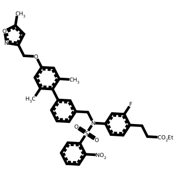 CCOC(=O)CCc1ccc(N(Cc2cccc(-c3c(C)cc(OCc4cc(C)on4)cc3C)c2)S(=O)(=O)c2ccccc2[N+](=O)[O-])cc1F